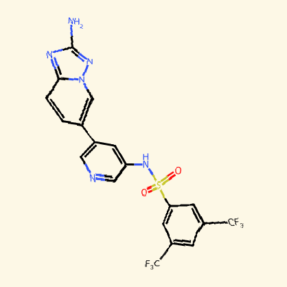 Nc1nc2ccc(-c3cncc(NS(=O)(=O)c4cc(C(F)(F)F)cc(C(F)(F)F)c4)c3)cn2n1